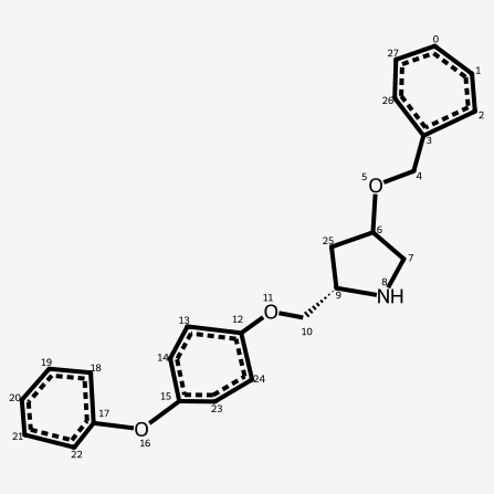 c1ccc(COC2CN[C@H](COc3ccc(Oc4ccccc4)cc3)C2)cc1